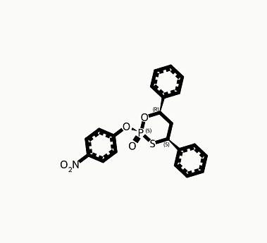 O=[N+]([O-])c1ccc(O[P@]2(=O)O[C@@H](c3ccccc3)C[C@@H](c3ccccc3)S2)cc1